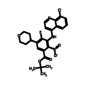 CC(C)(C)OC(=O)c1cc(N2CCOCC2)c(F)c(Nc2ccnc3c(Cl)cccc23)c1[N+](=O)[O-]